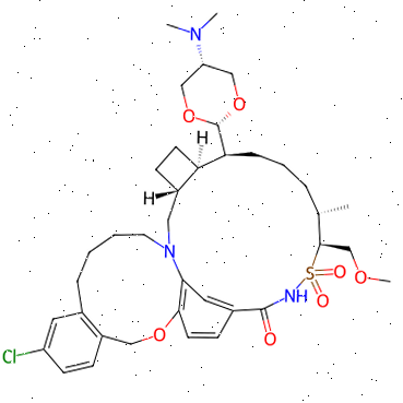 COC[C@@H]1[C@@H](C)CCC[C@H]([C@H]2OC[C@@H](N(C)C)CO2)[C@@H]2CC[C@H]2CN2CCCCc3cc(Cl)ccc3COc3ccc(cc32)C(=O)NS1(=O)=O